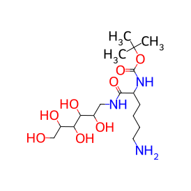 CC(C)(C)OC(=O)NC(CCCCN)C(=O)NCC(O)C(O)C(O)C(O)CO